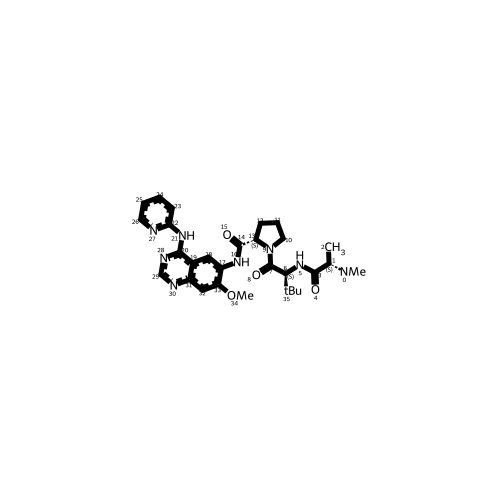 CN[C@@H](C)C(=O)N[C@H](C(=O)N1CCC[C@H]1C(=O)Nc1cc2c(Nc3ccccn3)ncnc2cc1OC)C(C)(C)C